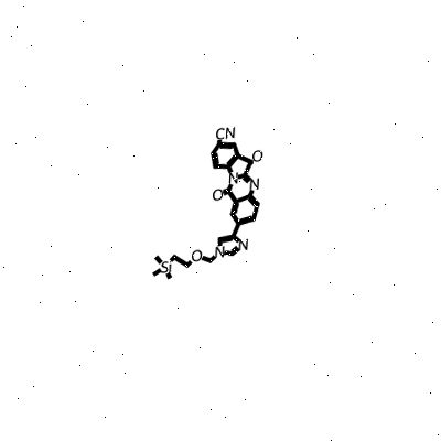 C[Si](C)(C)CCOCn1cnc(-c2ccc3nc4n(c(=O)c3c2)-c2ccc(C#N)cc2C4=O)c1